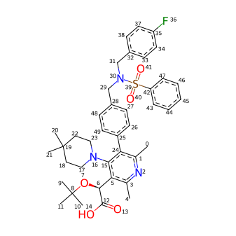 Cc1nc(C)c([C@H](OC(C)(C)C)C(=O)O)c(N2CCC(C)(C)CC2)c1-c1ccc(CN(Cc2ccc(F)cc2)S(=O)(=O)c2ccccc2)cc1